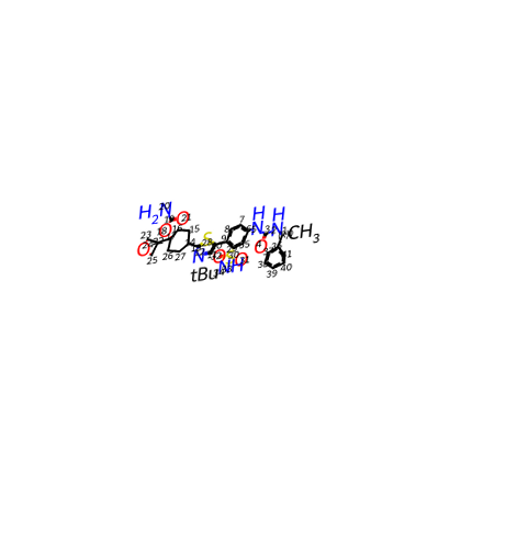 C[C@@H](NC(=O)Nc1ccc(-c2cnc(C3CCC(OC(N)=O)(C4COC4)CC3)s2)c(S(=O)(=O)NC(C)(C)C)c1)c1ccccc1